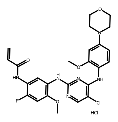 C=CC(=O)Nc1cc(Nc2ncc(Cl)c(Nc3ccc(N4CCOCC4)cc3OC)n2)c(OC)cc1F.Cl